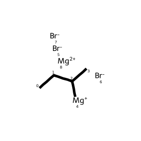 CC[CH](C)[Mg+].[Br-].[Br-].[Br-].[Mg+2]